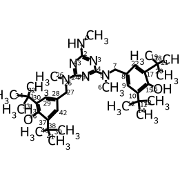 CNc1nc(N(C)Cc2cc(C(C)(C)C)c(O)c(C(C)(C)C)c2)nc(N(C)Cc2cc(C(C)(C)C)c(O)c(C(C)(C)C)c2)n1